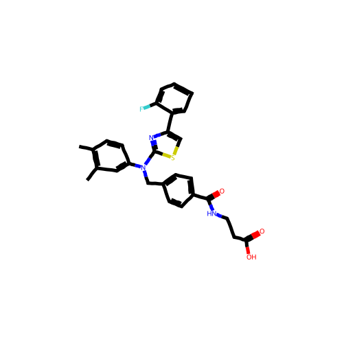 Cc1ccc(N(Cc2ccc(C(=O)NCCC(=O)O)cc2)c2nc(-c3ccccc3F)cs2)cc1C